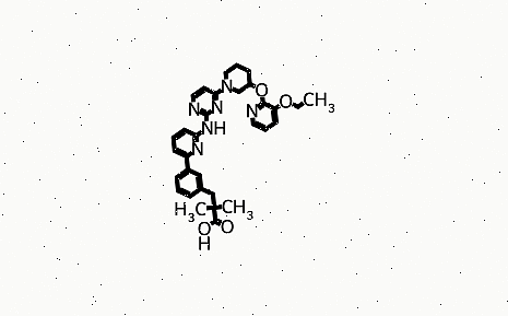 CCOc1cccnc1OC1CCCN(c2ccnc(Nc3cccc(-c4cccc(CC(C)(C)C(=O)O)c4)n3)n2)C1